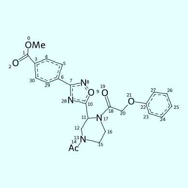 COC(=O)c1ccc(-c2noc(C3CN(C(C)=O)CCN3C(=O)COc3ccccc3)n2)cc1